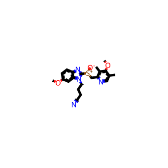 COc1ccc2nc([S+]([O-])Cc3ncc(C)c(OC)c3C)n([CH]CCC#N)c2c1